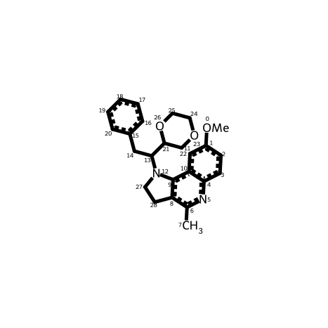 COc1ccc2nc(C)c3c(c2c1)N(C(Cc1ccccc1)C1COCCO1)CC3